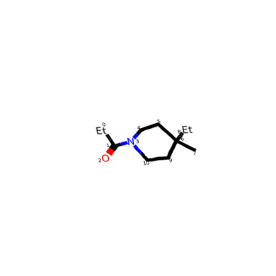 CCC(=O)N1CCC(C)(CC)CC1